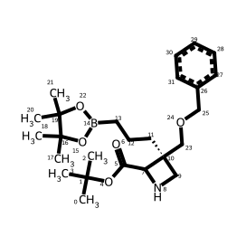 CC(C)(C)OC(=O)C1NC[C@]1(CCCB1OC(C)(C)C(C)(C)O1)COCc1ccccc1